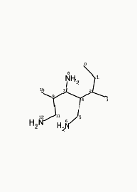 CCC(C)C(CN)C(N)C(C)CN